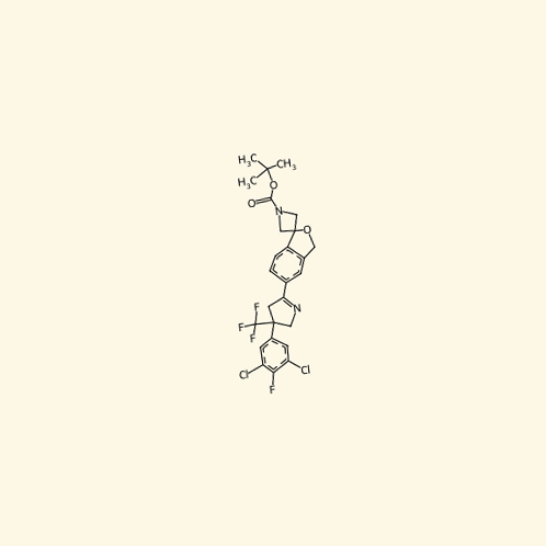 CC(C)(C)OC(=O)N1CC2(C1)OCc1cc(C3=NCC(c4cc(Cl)c(F)c(Cl)c4)(C(F)(F)F)C3)ccc12